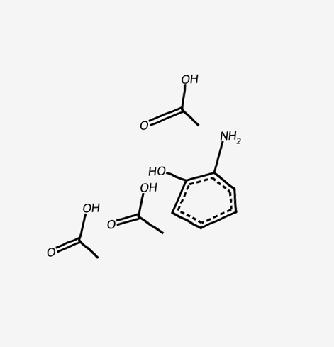 CC(=O)O.CC(=O)O.CC(=O)O.Nc1ccccc1O